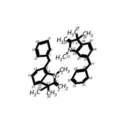 C=C1N(C)c2c(Cc3ccccc3)cccc2C1(C)C.C=C1N(C)c2cc(Cc3ccccc3)ccc2C1(C)C